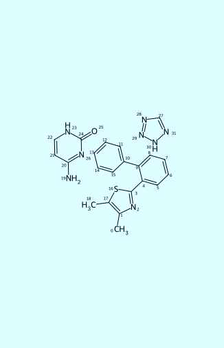 Cc1nc(-c2ccccc2-c2ccccc2)sc1C.Nc1cc[nH]c(=O)n1.c1nn[nH]n1